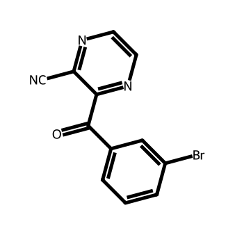 N#Cc1nccnc1C(=O)c1cccc(Br)c1